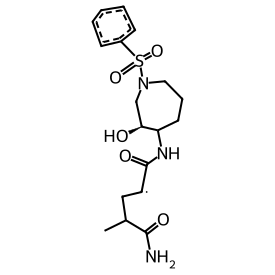 CC(C[CH]C(=O)NC1CCCN(S(=O)(=O)c2ccccc2)C[C@@H]1O)C(N)=O